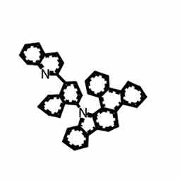 c1ccc2nc(-c3ccc(-n4c5ccccc5c5ccc6c7ccccc7c7ccccc7c6c54)c4ccccc34)ccc2c1